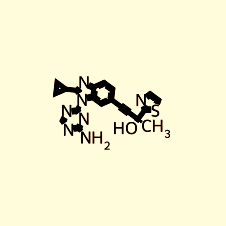 C[C@@](O)(C#Cc1ccc2nc(C3CC3)n(-c3ncnc(N)n3)c2c1)c1nccs1